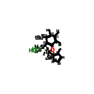 CC1=[C]([Ti]([CH3])([CH3])([SiH3])[O]c2c(C)c(C)c(C)c(C(C)(C)C)c2[SiH3])CC=C1.Cl.Cl